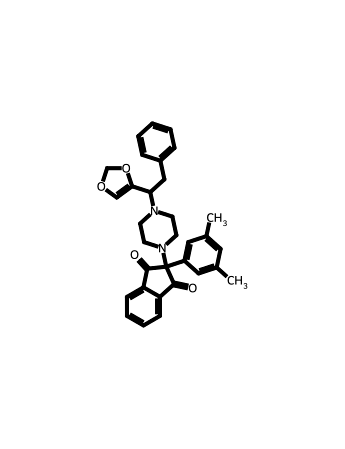 Cc1cc(C)cc(C2(N3CCN(C(Cc4ccccc4)C4=COCO4)CC3)C(=O)c3ccccc3C2=O)c1